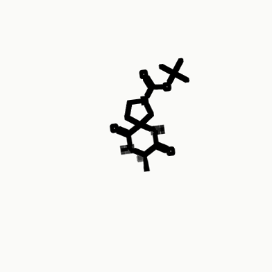 C[C@H]1NC(=O)C2(CCN(C(=O)OC(C)(C)C)C2)NC1=O